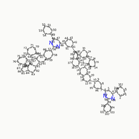 c1ccc(-c2cc(-c3ccc(-c4ccc5cc6c(cc5c4)C4(c5ccccc5-c5ccccc54)c4c-6ccc5cc(-c6cccc(-c7cc(-c8ccccc8)nc(-c8ccc9cc%10c(cc9c8)C8(c9ccccc9-c9ccccc98)c8c-%10ccc9ccccc89)n7)c6)ccc45)cc3)nc(-c3ccccc3)n2)cc1